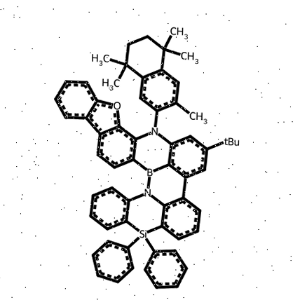 Cc1cc2c(cc1N1c3cc(C(C)(C)C)cc4c3B(c3ccc5c(oc6ccccc65)c31)N1c3ccccc3[Si](c3ccccc3)(c3ccccc3)c3cccc-4c31)C(C)(C)CCC2(C)C